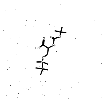 CC(C)(C)OC(=O)NC(CO[Si](C)(C)C(C)(C)C)C(=O)O